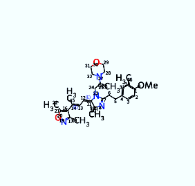 COc1ccc(CCC2=N[C@@H](C)/C(=C\C=C(/C)c3c(C)noc3C)N2C[C@H](C)N2CCOCC2)cc1C